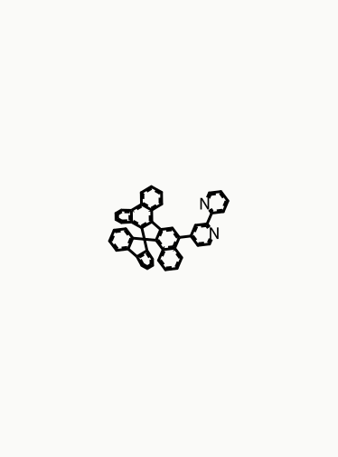 c1ccc(-c2cc(-c3cc4c(c5ccccc35)C3(c5ccccc5-c5ccccc53)c3c-4c4ccccc4c4ccccc34)ccn2)nc1